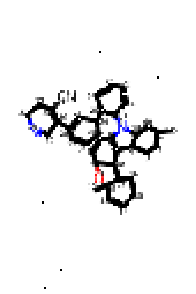 CC1CCC2C3=C(C=CC4OC5(C)C=CCCC5C34)N(C3C=CC=CC3C3C=C(C4=C(C#N)CCN=C4)C=CC3)C2C1